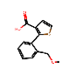 COCc1ccccc1-c1sccc1C(=O)O